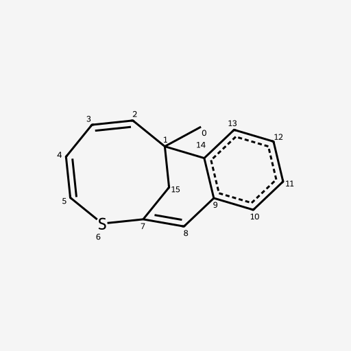 CC12/C=C\C=C/SC(=Cc3ccccc31)C2